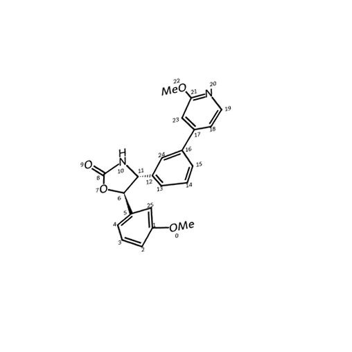 COc1cccc([C@H]2OC(=O)N[C@@H]2c2cccc(-c3ccnc(OC)c3)c2)c1